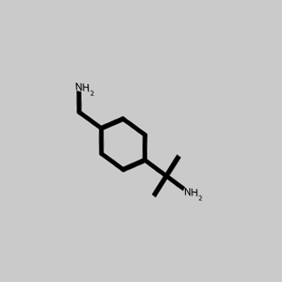 CC(C)(N)C1CCC(CN)CC1